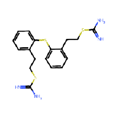 N=C(N)SCCc1ccccc1Sc1ccccc1CCSC(=N)N